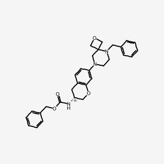 O=C(N[C@H]1COc2cc(N3CCN(Cc4ccccc4)C4(COC4)C3)ccc2C1)OCc1ccccc1